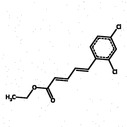 CCOC(=O)C=CC=Cc1ccc(Cl)cc1Cl